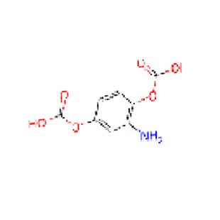 Nc1cc(OC(=O)O)ccc1OC(=O)O